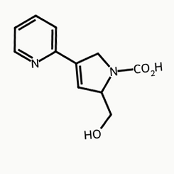 O=C(O)N1CC(c2ccccn2)=CC1CO